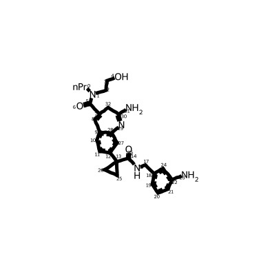 CCCN(CCO)C(=O)C1=Cc2ccc(C3(C(=O)NCc4cccc(N)c4)CC3)cc2N=C(N)C1